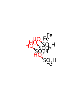 O=S(=O)(O)O.O=S(=O)(O)O.O=S(=O)(O)O.O=S(=O)(O)O.[Fe].[Fe].[Fe]